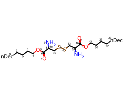 CCCCCCCCCCCCCCOC(=O)[C@@H](N)CSSC[C@H](N)C(=O)OCCCCCCCCCCCCCC